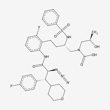 C[C@@H](O)CN(C[C@H](CCc1c(F)cccc1NC(=O)[C@@H](N=[N+]=[N-])[C@@H](c1ccc(F)cc1)C1CCOCC1)NS(=O)(=O)c1ccccc1)C(=O)O